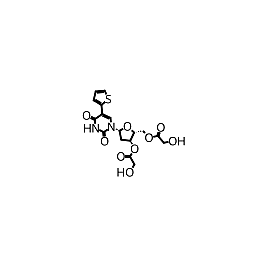 O=C(CO)OC[C@H]1O[C@@H](n2cc(-c3cccs3)c(=O)[nH]c2=O)C[C@@H]1OC(=O)CO